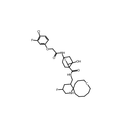 O=C(COc1ccc(Cl)c(F)c1)NC12CCC(C(=O)NCC3CC(F)CNC34CCCCCCCCC4)(CC1)C(O)C2